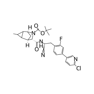 CC1C2C1[C@@H]1C[C@H]2[C@@H](C(=O)N[C@H](C#N)Cc2ccc(-c3ccc(Cl)nc3)cc2F)N1C(=O)OC(C)(C)C